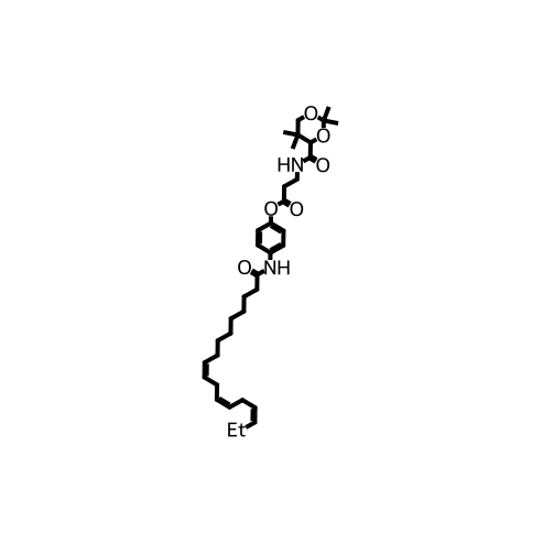 CC/C=C\C/C=C\C/C=C\CCCCCCCC(=O)Nc1ccc(OC(=O)CCNC(=O)C2OC(C)(C)OCC2(C)C)cc1